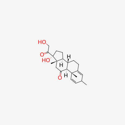 CC1C=C[C@@]2(C)C(=C1)CC[C@@H]1[C@@H]2C(=O)C[C@@]2(C)[C@H]1CC[C@]2(O)C(=O)CO